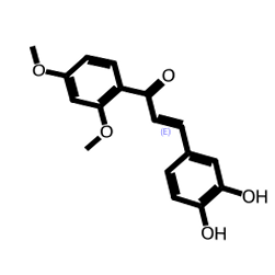 COc1ccc(C(=O)/C=C/c2ccc(O)c(O)c2)c(OC)c1